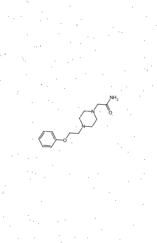 NC(=O)CN1CCN(CCOc2ccccc2)CC1